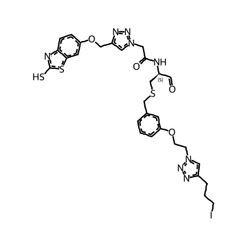 O=C[C@@H](CSCc1cccc(OCCn2cc(CCCI)nn2)c1)NC(=O)Cn1cc(COc2ccc3nc(S)sc3c2)nn1